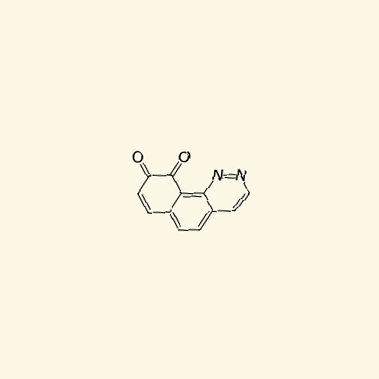 O=C1C=Cc2ccc3ccnnc3c2C1=O